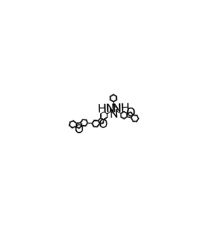 C1=c2oc3ccc(-c4ccc5c(c4)oc4ccccc45)cc3c2=CCC1C1N=C(c2ccc3c(c2)oc2ccccc23)NC(c2ccccc2)N1